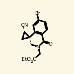 CCOC(=O)CN1C[C@@]2(C[C@@H]2C#N)c2cc(Br)ccc2C1=O